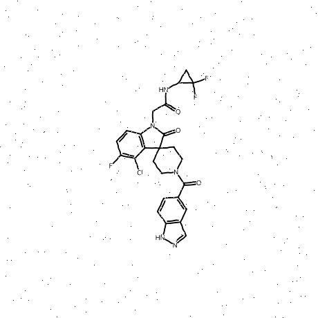 O=C(CN1C(=O)C2(CCN(C(=O)c3ccc4[nH]ncc4c3)CC2)c2c1ccc(F)c2Cl)NC1CC1(F)F